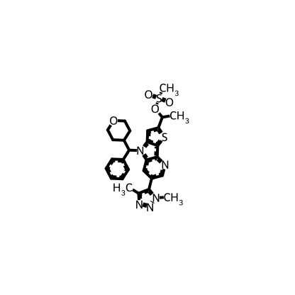 Cc1nnn(C)c1-c1cnc2c3sc(C(C)OS(C)(=O)=O)cc3n(C(c3ccccc3)C3CCOCC3)c2c1